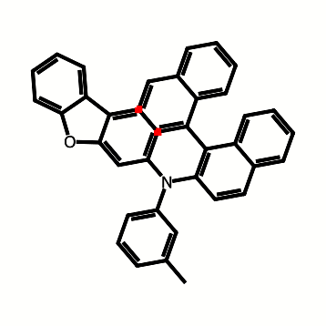 Cc1cccc(N(c2ccc3c(c2)oc2ccccc23)c2ccc3ccccc3c2-c2cccc3ccccc23)c1